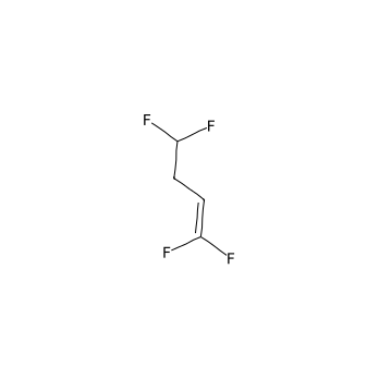 FC(F)=CCC(F)F